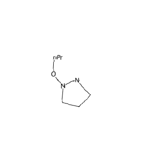 CCCON1CCC[N]1